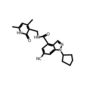 Cc1cc(C)c(CNC(=O)c2cc(C#N)cc3c2cnn3C2CCCC2)c(=O)[nH]1